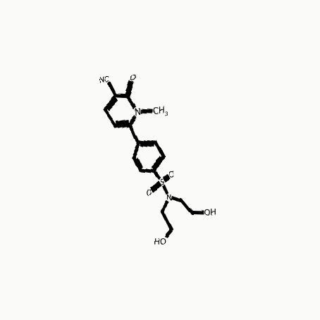 Cn1c(-c2ccc(S(=O)(=O)N(CCO)CCO)cc2)ccc(C#N)c1=O